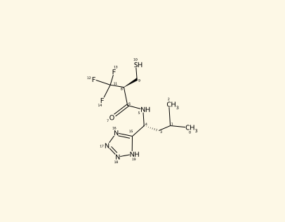 CC(C)C[C@@H](NC(=O)[C@H](CS)C(F)(F)F)c1nnn[nH]1